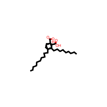 CCCCCCCCCCc1ccc(C(=O)O)c(C(=O)O)c1CCCCCCCCC